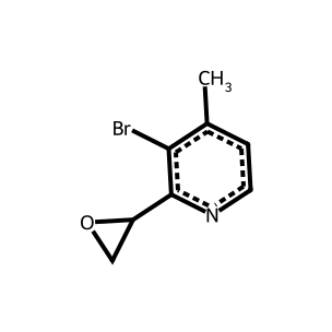 Cc1ccnc(C2CO2)c1Br